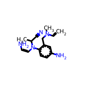 C=CN(C)Cc1cc(N)ccc1N(/C=C\N)C(C)C#N